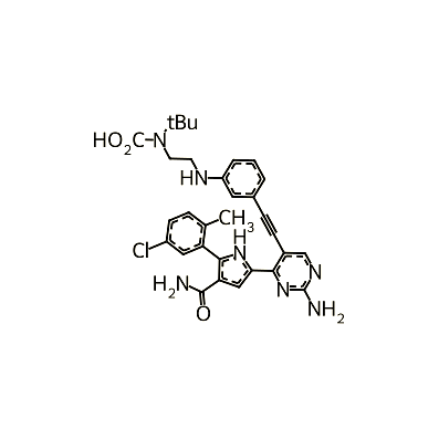 Cc1ccc(Cl)cc1-c1[nH]c(-c2nc(N)ncc2C#Cc2cccc(NCCN(C(=O)O)C(C)(C)C)c2)cc1C(N)=O